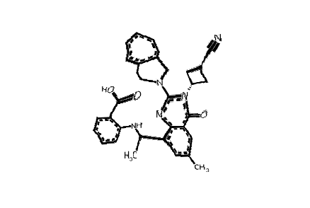 Cc1cc(C(C)Nc2ccccc2C(=O)O)c2nc(N3Cc4ccccc4C3)n([C@H]3C[C@H](C#N)C3)c(=O)c2c1